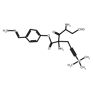 C[Si](C)(C)C#CCC(N)(C(=O)Oc1ccc(C=NN)cc1)C(=O)C(N)CC=O